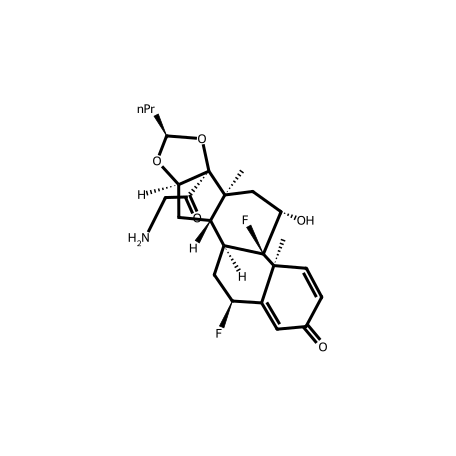 CCC[C@@H]1O[C@@H]2C[C@H]3[C@@H]4C[C@H](F)C5=CC(=O)C=C[C@]5(C)[C@@]4(F)[C@@H](O)C[C@]3(C)[C@]2(C(=O)CN)O1